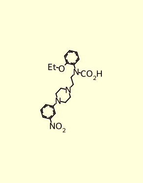 CCOc1ccccc1N(CCN1CCN(c2cccc([N+](=O)[O-])c2)CC1)C(=O)O